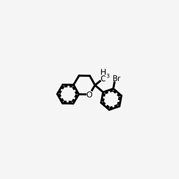 CC1(c2ccccc2Br)CCc2ccccc2O1